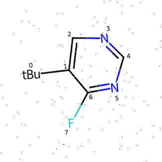 CC(C)(C)c1cncnc1F